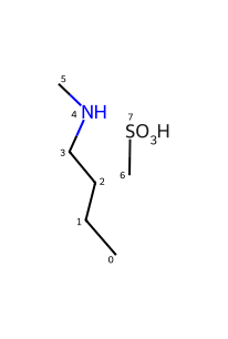 CCCCNC.CS(=O)(=O)O